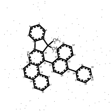 CC1(C)c2ccccc2-c2nc3ccc4ccccc4c3c(-c3ccc(-c4ccncc4)c4ccccc34)c21